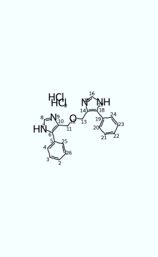 Cl.Cl.c1ccc(-c2[nH]cnc2COCc2nc[nH]c2-c2ccccc2)cc1